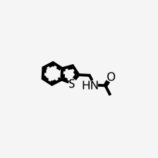 CC(=O)NCc1cc2ccccc2s1